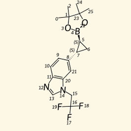 CC1(C)OB([C@H]2C[C@@H]2c2ccc3ncn(CC(F)(F)F)c3c2)OC1(C)C